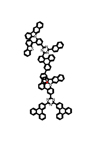 c1ccc2cc(-c3nc(-c4ccc(-n5c6ccccc6c6cc7ccccc7cc65)c(-c5cccc6c5sc5ccccc56)c4)nc(-c4cccc5c6cc(-c7ccc8c(c7)sc7c(-c9cc(-c%10nc(-c%11ccc%12c%13ccccc%13c%13ccccc%13c%12c%11)nc(-c%11ccc%12c%13ccccc%13c%13ccccc%13c%12c%11)n%10)ccc9-n9c%10ccccc%10c%10cc%11ccccc%11cc%109)cccc78)ccc6c6ccccc6c45)n3)ccc2c1